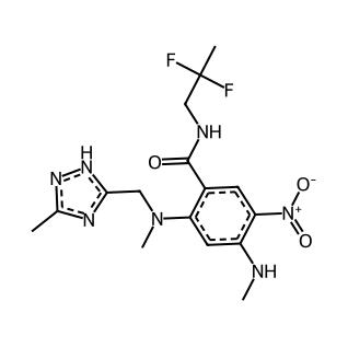 CNc1cc(N(C)Cc2nc(C)n[nH]2)c(C(=O)NCC(C)(F)F)cc1[N+](=O)[O-]